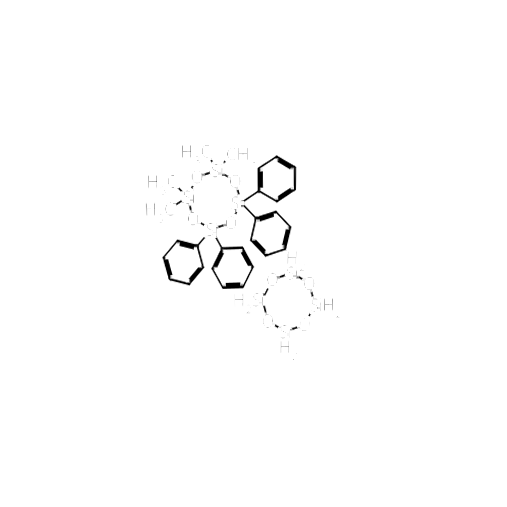 C[Si]1(C)O[Si](C)(C)O[Si](c2ccccc2)(c2ccccc2)O[Si](c2ccccc2)(c2ccccc2)O1.O1[SiH2]O[SiH2]O[SiH2]O[SiH2]1